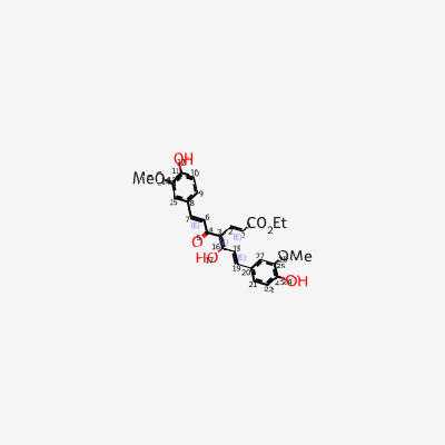 CCOC(=O)/C=C/C(C(=O)/C=C/c1ccc(O)c(OC)c1)=C(O)\C=C\c1ccc(O)c(OC)c1